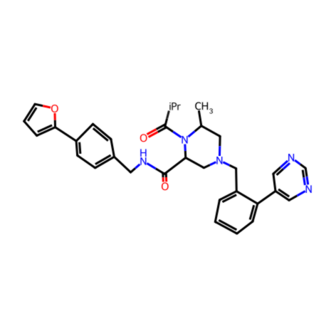 CC(C)C(=O)N1C(C)CN(Cc2ccccc2-c2cncnc2)CC1C(=O)NCc1ccc(-c2ccco2)cc1